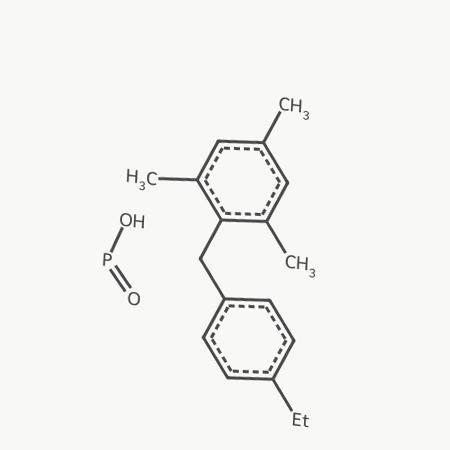 CCc1ccc(Cc2c(C)cc(C)cc2C)cc1.O=PO